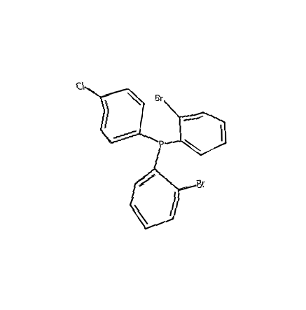 Clc1ccc(P(c2ccccc2Br)c2ccccc2Br)cc1